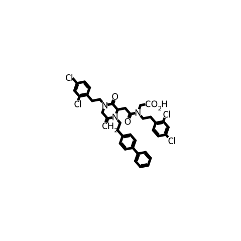 C=C1CN(CCc2ccc(Cl)cc2Cl)C(=O)C(CC(=O)N(CCc2ccc(Cl)cc2Cl)CC(=O)O)N1CCc1ccc(-c2ccccc2)cc1